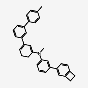 Cc1ccc(-c2cccc(C3=CCCC(N(C)c4cccc(-c5ccc6c(c5)CC6)c4)=C3)c2)cc1